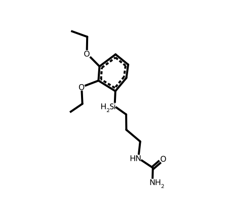 CCOc1cccc([SiH2]CCCNC(N)=O)c1OCC